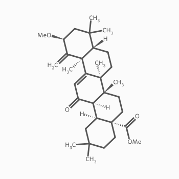 C=C1[C@@H](OC)CC(C)(C)[C@@H]2CC[C@]3(C)C(=CC(=O)[C@@H]4[C@@H]5CC(C)(C)CC[C@]5(C(=O)OC)CC[C@]43C)[C@@]12C